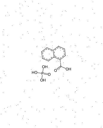 O=C(O)c1cccc2ccccc12.O=P(O)(O)O